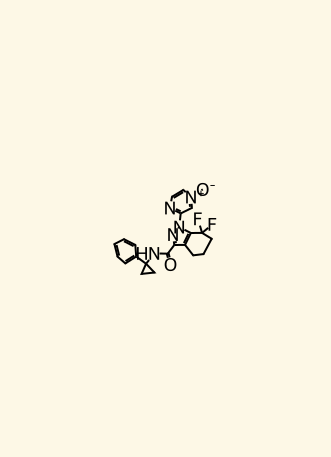 O=C(NC1(c2ccccc2)CC1)c1nn(-c2c[n+]([O-])ccn2)c2c1CCCC2(F)F